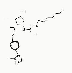 Cc1ncsc1-c1ccc(CNC(=O)[C@@H]2C[C@@H](O)CN2C(=O)[C@@H](NC(=O)CCCCCCN)C(C)(C)C)cc1.Cl